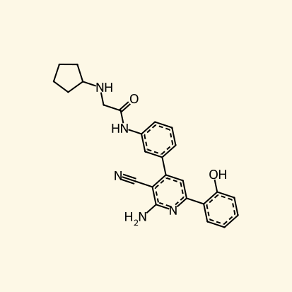 N#Cc1c(-c2cccc(NC(=O)CNC3CCCC3)c2)cc(-c2ccccc2O)nc1N